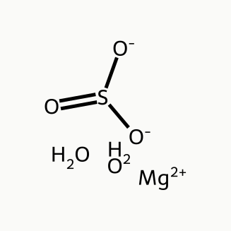 O.O.O=S([O-])[O-].[Mg+2]